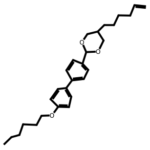 C=CCCCCC1COC(c2ccc(-c3ccc(OCCCCCC)cc3)cc2)OC1